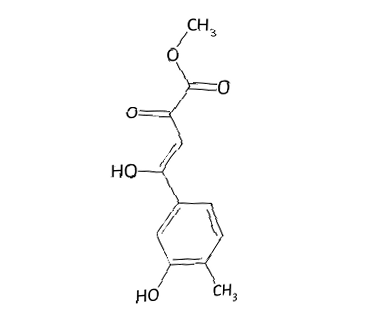 COC(=O)C(=O)/C=C(\O)c1ccc(C)c(O)c1